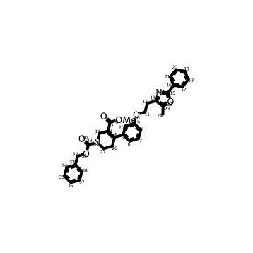 COC(=O)C1=C(c2cccc(OCCc3nc(-c4ccccc4)oc3C)c2)CCN(C(=O)OCc2ccccc2)C1